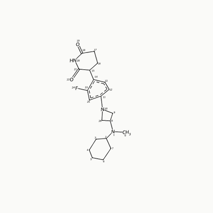 CN(C1CCCCC1)C1CN(c2ccc(C3CCC(=O)NC3=O)c(F)c2)C1